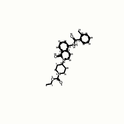 CCOC(=O)N1CCC(n2ccc3c(NC(=O)c4ccccc4C)cccc3c2=O)CC1